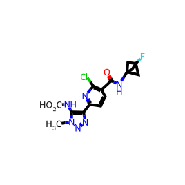 Cn1nnc(-c2ccc(C(=O)NC34CC(F)(C3)C4)c(Cl)n2)c1NC(=O)O